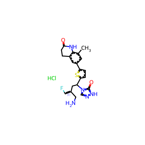 Cc1cc(-c2ccc(C(C/C(=C\F)CN)n3cn[nH]c3=O)s2)cc2c1NC(=O)CC2.Cl